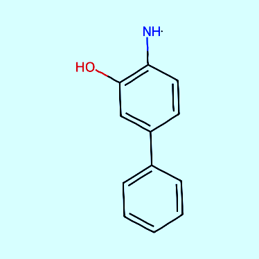 [NH]c1ccc(-c2ccccc2)cc1O